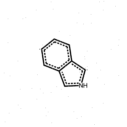 [c]1ccc2[c][nH]cc2c1